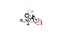 CC(C)(C)[C@@](C)(O)C1C[C@@]23CC[C@]1(C)[C@@H]1Oc4c(O)ccc5c4[C@@]12CCN(CC1CC1)[C@@H]3C5